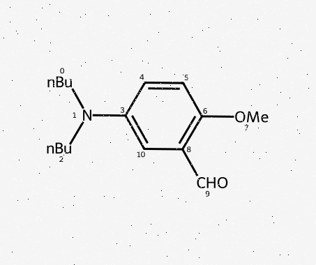 CCCCN(CCCC)c1ccc(OC)c(C=O)c1